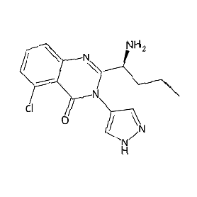 CCC[C@H](N)c1nc2cccc(Cl)c2c(=O)n1-c1cn[nH]c1